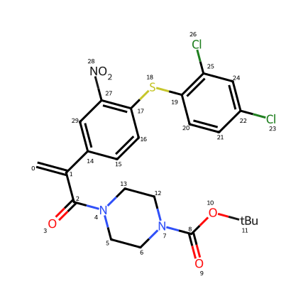 C=C(C(=O)N1CCN(C(=O)OC(C)(C)C)CC1)c1ccc(Sc2ccc(Cl)cc2Cl)c([N+](=O)[O-])c1